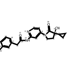 N#C[C@@]1(C2CC2)CCN(c2ccnc(NC(=O)Cc3cccc(Br)c3)c2)C1=O